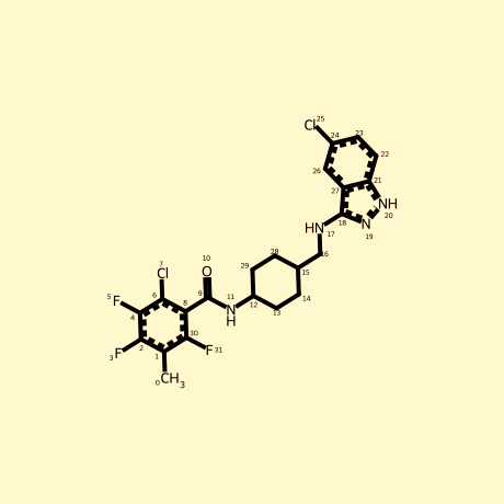 Cc1c(F)c(F)c(Cl)c(C(=O)NC2CCC(CNc3n[nH]c4ccc(Cl)cc34)CC2)c1F